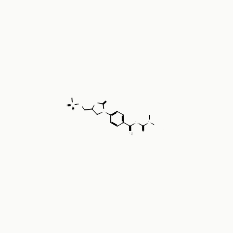 CCOC(=O)N(C)C(=O)NC(=N)c1ccc(N2CC(COS(C)(=O)=O)OC2=O)cc1